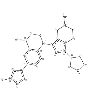 CC(=O)N1CCc2c(c(N3CC[C@@H](C)c4cc(-c5cnn(C)c5)ccc43)nn2[C@@H]2CCOC2)C1